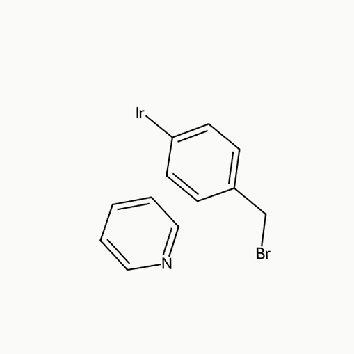 BrCc1cc[c]([Ir])cc1.c1ccncc1